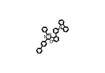 c1ccc(-c2ccc(-c3nc(-c4ccccc4)nc4c3oc3cccc(-c5cccc(-n6c7ccccc7c7ccccc76)c5)c34)cc2)cc1